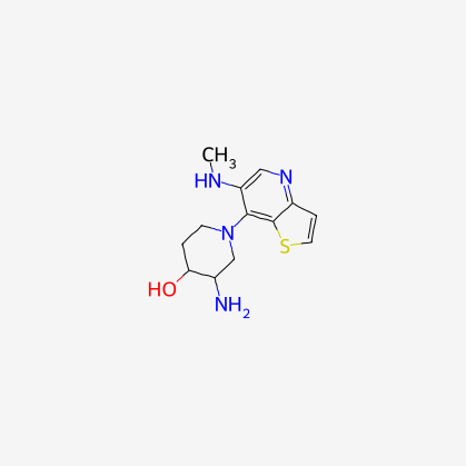 CNc1cnc2ccsc2c1N1CCC(O)C(N)C1